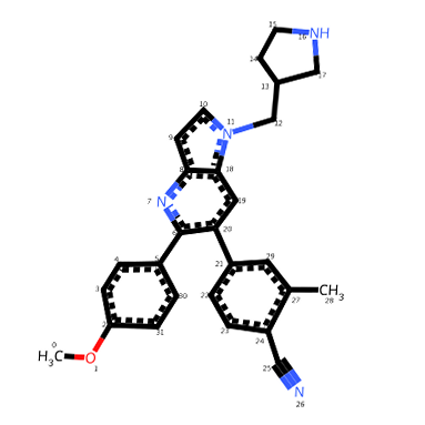 COc1ccc(-c2nc3ccn(CC4CCNC4)c3cc2-c2ccc(C#N)c(C)c2)cc1